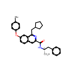 CC(C)(C)c1ccc(Oc2ccc3cc(C(=O)N[C@H](Cc4ccccc4)C(=O)O)nc(CC4CCCC4)c3c2)cc1